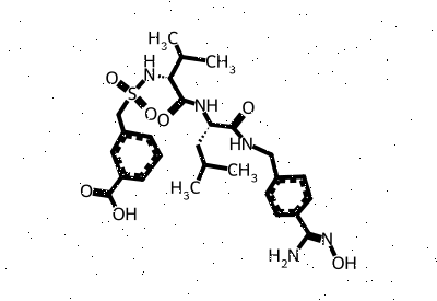 CC(C)C[C@H](NC(=O)[C@H](NS(=O)(=O)Cc1cccc(C(=O)O)c1)C(C)C)C(=O)NCc1ccc(/C(N)=N/O)cc1